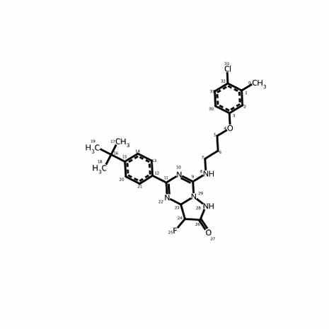 Cc1cc(OCCCNC2=NC(c3ccc(C(C)(C)C)cc3)=NC3C(F)C(=O)NN23)ccc1Cl